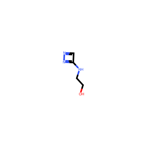 OCCNC1=NN=C1